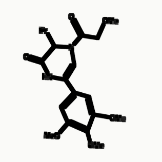 COCC(=O)N1C=C(c2cc(OC)c(OC)c(OC)c2)NC(=O)C1C(C)C